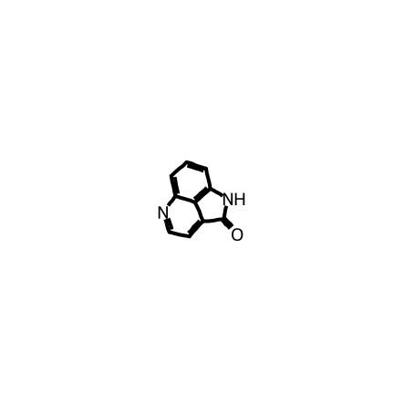 O=C1Nc2cccc3nccc1c23